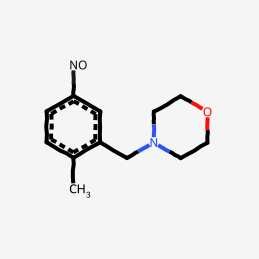 Cc1ccc(N=O)cc1CN1CCOCC1